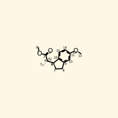 COC(=O)[C@@H](C)[C@@H]1CCc2cc(OC)ccc21